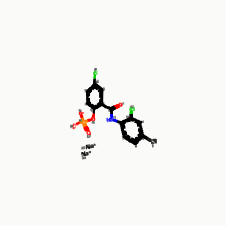 N#Cc1ccc(NC(=O)c2cc(Cl)ccc2OP(=O)([O-])[O-])c(Cl)c1.[Na+].[Na+]